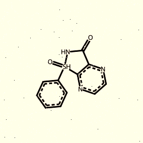 O=C1N[SH](=O)(c2ccccc2)c2nccnc21